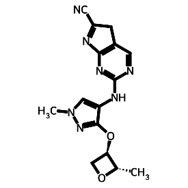 C[C@@H]1OC[C@H]1Oc1nn(C)cc1Nc1ncc2c(n1)N=C(C#N)C2